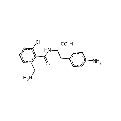 NCc1cccc(Cl)c1C(=O)N[C@@H](Cc1ccc(N)cc1)C(=O)O